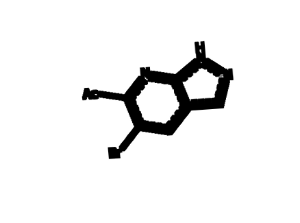 CC(=O)c1nc2[nH]ncc2cc1Br